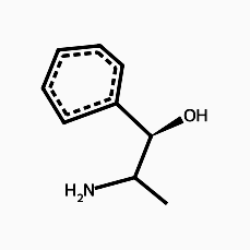 CC(N)[C@H](O)c1ccccc1